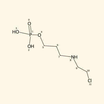 O=P(O)(O)OCCCNCCCl